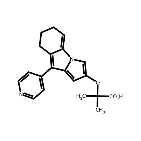 CC(C)(Oc1cc2c(-c3ccncc3)c3c(n2c1)=CCCC3)C(=O)O